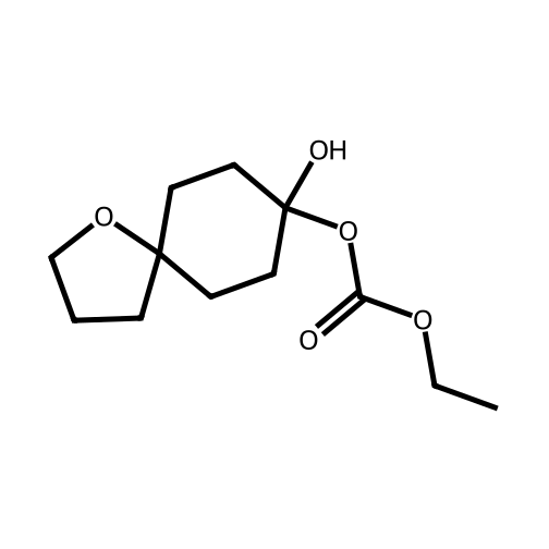 CCOC(=O)OC1(O)CCC2(CCCO2)CC1